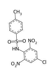 Cc1ccc(S(=O)(=O)Nc2c([N+](=O)[O-])cc(Cl)cc2[N+](=O)[O-])cc1